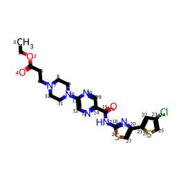 CCOC(=O)CCN1CCN(c2cnc(C(=O)Nc3nc(-c4cc(Cl)cs4)cs3)cn2)CC1